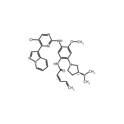 C=C/C=C\C(=O)Nc1cc(Nc2ncc(Cl)c(-c3cnn4ccccc34)n2)c(OC)cc1N1CC[C@H](N(C)C)C1